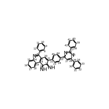 N=C1C(=N)c2c(c(-c3ccccc3)nc3ccccc23)C=C1c1ccc(-c2cc(-c3ccccc3)nc(-c3ccccc3)n2)cc1